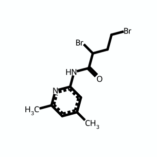 Cc1cc(C)nc(NC(=O)C(Br)CCBr)c1